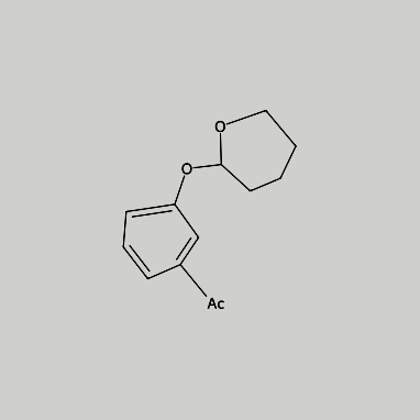 CC(=O)c1cccc(OC2CCCCO2)c1